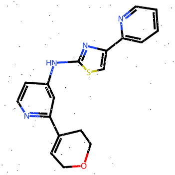 C1=C(c2cc(Nc3nc(-c4ccccn4)cs3)ccn2)CCOC1